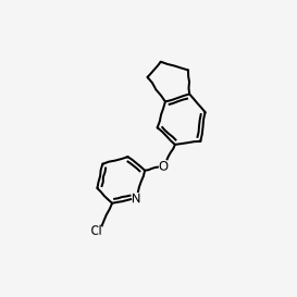 Clc1cccc(Oc2ccc3c(c2)CCC3)n1